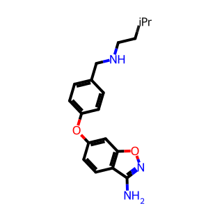 CC(C)CCNCc1ccc(Oc2ccc3c(N)noc3c2)cc1